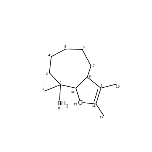 BC1(C)CCCCCC2C(C)=C(C)OC21